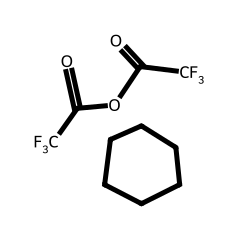 C1CCCCC1.O=C(OC(=O)C(F)(F)F)C(F)(F)F